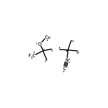 CC(C)([O][Cu])C(F)(F)F.[C-]#[N+]C(C)(C)C